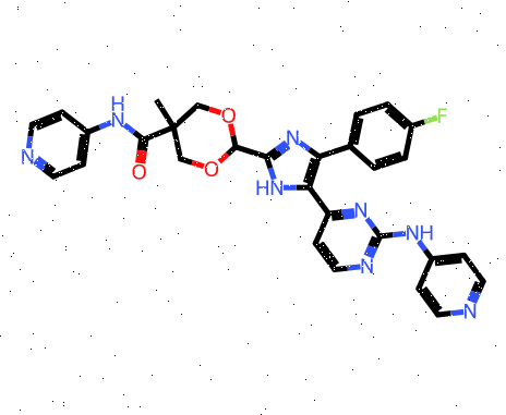 CC1(C(=O)Nc2ccncc2)COC(c2nc(-c3ccc(F)cc3)c(-c3ccnc(Nc4ccncc4)n3)[nH]2)OC1